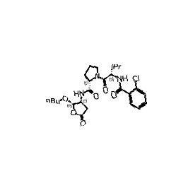 CCCCO[C@@H]1OC(=O)C[C@@H]1NC(=O)[C@@H]1CCCN1C(=O)[C@@H](NC(=O)c1ccccc1Cl)C(C)C